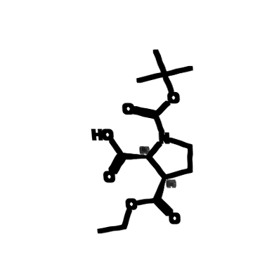 CCOC(=O)[C@@H]1CCN(C(=O)OC(C)(C)C)[C@@H]1C(=O)O